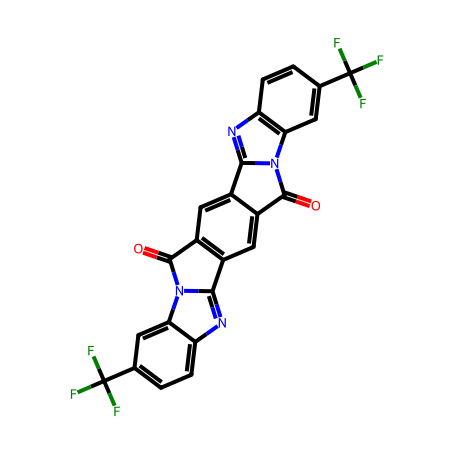 O=c1c2cc3c(cc2c2nc4ccc(C(F)(F)F)cc4n12)c(=O)n1c2cc(C(F)(F)F)ccc2nc31